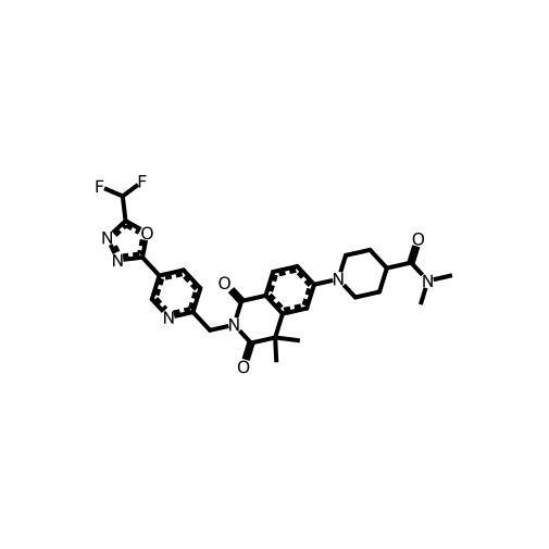 CN(C)C(=O)C1CCN(c2ccc3c(c2)C(C)(C)C(=O)N(Cc2ccc(-c4nnc(C(F)F)o4)cn2)C3=O)CC1